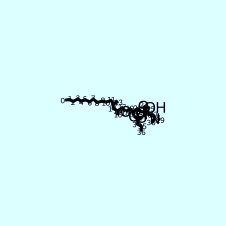 CCCCCCCCCCCCC(C)CC(C)COCC(COP(=O)(O)CCN(C)C)OC(=O)CCC